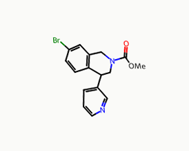 COC(=O)N1Cc2cc(Br)ccc2C(c2cccnc2)C1